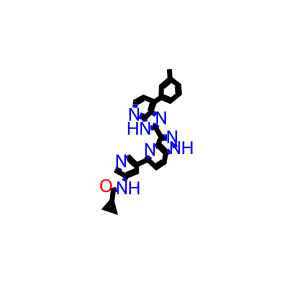 Cc1cccc(-c2ccnc3[nH]c(-c4n[nH]c5ccc(-c6cncc(NC(=O)C7CC7)c6)nc45)nc23)c1